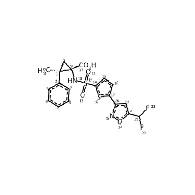 C[C@]1(c2ccccc2)C[C@@]1(NS(=O)(=O)c1ccc(-c2cc(C(F)F)on2)s1)C(=O)O